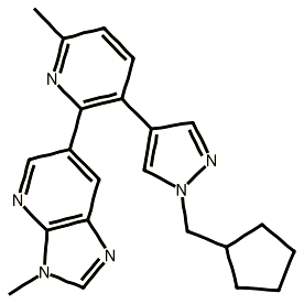 Cc1ccc(-c2cnn(CC3CCCC3)c2)c(-c2cnc3c(c2)ncn3C)n1